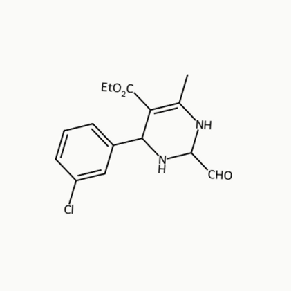 CCOC(=O)C1=C(C)NC(C=O)NC1c1cccc(Cl)c1